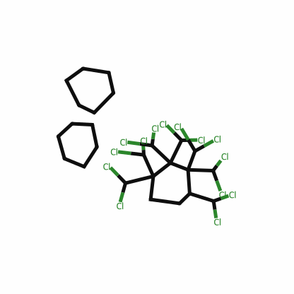 C1CCCCC1.C1CCCCC1.ClC(Cl)C1CCC(C(Cl)Cl)(C(Cl)Cl)C(C(Cl)Cl)(C(Cl)Cl)C1(C(Cl)Cl)C(Cl)Cl